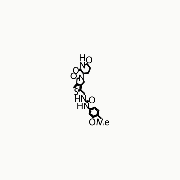 COc1cc(NC(=O)NCc2scc3c2CN(C2CCC(=O)NC2=O)C3=O)ccc1C